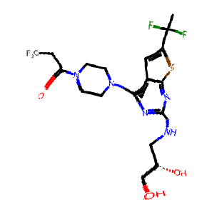 CC(F)(F)c1cc2c(N3CCN(C(=O)CC(F)(F)F)CC3)nc(NC[C@H](O)CO)nc2s1